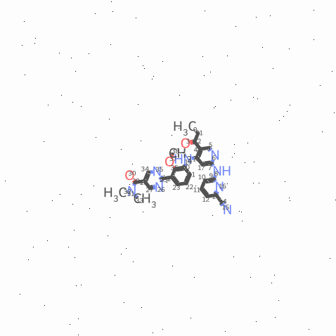 CCC(=O)c1cnc(Nc2cccc(C#N)n2)cc1Nc1cccc(-c2ncc(C(=O)N(C)C)cn2)c1OC